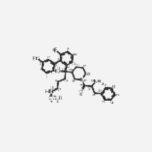 CCc1cccc(-c2c(F)cccc2C(O)(CCCNC(=O)O)C2CCCN(C(=O)C(N)Cc3ccccc3)C2)c1